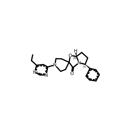 CCc1cc(N2CCC3(CC2)O[C@@H]2CC[C@@H](c4ccccc4)N2C3=O)ncn1